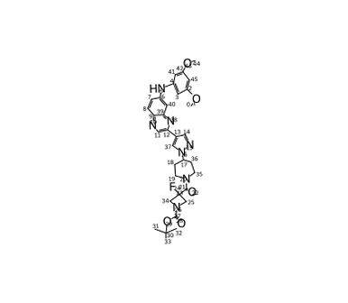 COc1cc(Nc2ccc3ncc(-c4cnn(C5CCN(C(=O)C6(F)CN(C(=O)OC(C)(C)C)C6)CC5)c4)nc3c2)cc(OC)c1